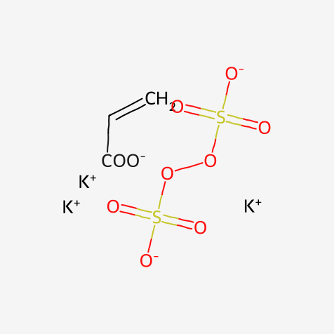 C=CC(=O)[O-].O=S(=O)([O-])OOS(=O)(=O)[O-].[K+].[K+].[K+]